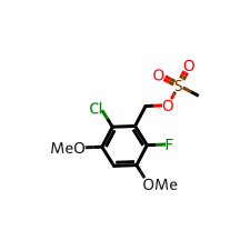 COc1cc(OC)c(Cl)c(COS(C)(=O)=O)c1F